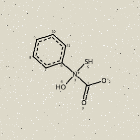 O=C([O-])[N+](O)(S)c1ccccc1